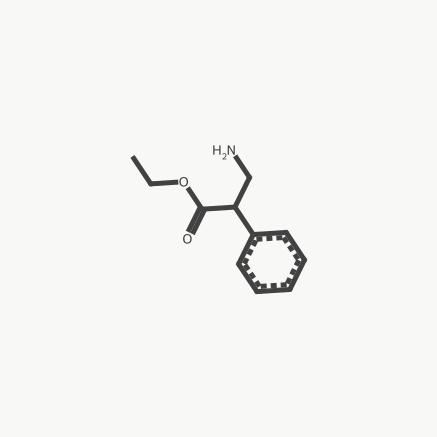 CCOC(=O)C(CN)c1ccccc1